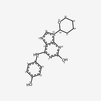 Oc1ccc(Nc2nc(O)nc3c2ncn3C2CCCCO2)cc1